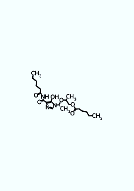 CCCCCC(=O)NC(=O)c1ncn([C@@H](C)O[C@@H](C)COC(=O)CCCCC)c1O